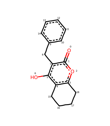 O=c1oc2c(c(O)c1Cc1ccccc1)CCCC2